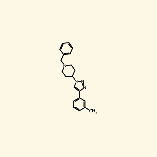 Cc1cccc(-c2cn(C3CCN(Cc4ccccc4)CC3)nn2)c1